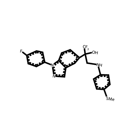 CSc1ccc(NCC(O)(c2ccc3c(cnn3-c3ccc(F)cc3)c2)C(F)(F)F)cc1